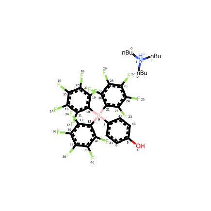 CCCC[NH+](CCCC)CCCC.Oc1ccc([B-](c2c(F)c(F)c(F)c(F)c2F)(c2c(F)c(F)c(F)c(F)c2F)c2c(F)c(F)c(F)c(F)c2F)cc1